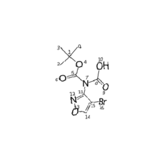 CC(C)(C)OC(=O)N(C(=O)O)c1nocc1Br